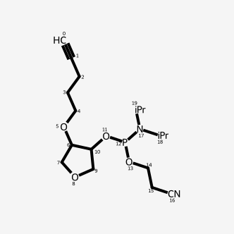 C#CCCCOC1COCC1OP(OCCC#N)N(C(C)C)C(C)C